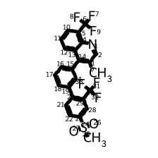 Cc1cnc2c(C(F)(F)F)cccc2c1-c1cccc(-c2ccc(S(C)(=O)=O)cc2C(F)(F)F)c1